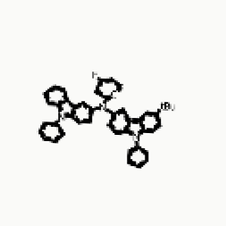 CC(C)(C)c1ccc2c(c1)c1cc(N(c3cccc(F)c3)c3ccc4c(c3)c3ccccc3n4-c3ccccc3)ccc1n2-c1ccccc1